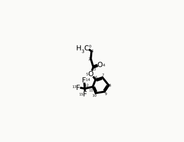 CCCC(=O)Oc1ccccc1C(F)(F)F